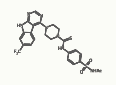 CC(=O)NS(=O)(=O)c1ccc(NC(=S)N2CCN(c3ncnc4[nH]c5cc(C(F)(F)F)ccc5c34)CC2)cc1